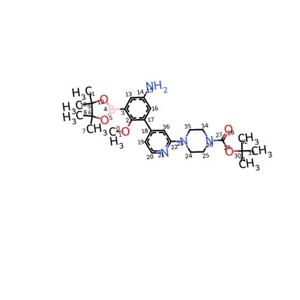 COc1c(B2OC(C)(C)C(C)(C)O2)cc(N)cc1-c1ccnc(N2CCN(C(=O)OC(C)(C)C)CC2)c1